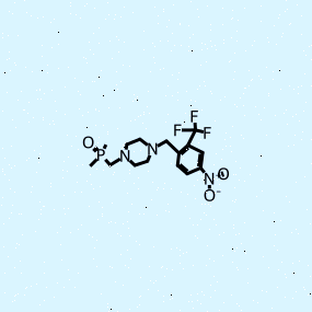 CP(C)(=O)CN1CCN(Cc2ccc([N+](=O)[O-])cc2C(F)(F)F)CC1